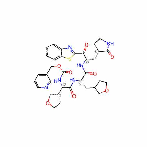 O=C(N[C@H](C(=O)N[C@@H](CC1CCOC1)C(=O)N[C@@H](C[C@@H]1CCNC1=O)C(=O)c1nc2ccccc2s1)[C@@H]1CCOC1)OCc1cccnc1